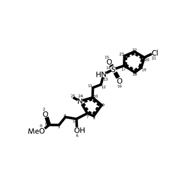 COC(=O)CCC(O)c1ccc(CCNS(=O)(=O)c2ccc(Cl)cc2)n1C